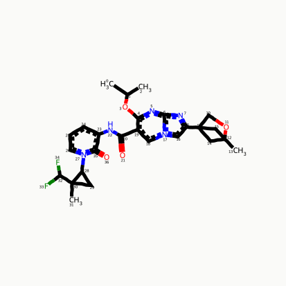 CC(C)Oc1nc2nc(C34COC(C)(C3)C4)cn2cc1C(=O)Nc1cccn(C2CC2(C)C(F)F)c1=O